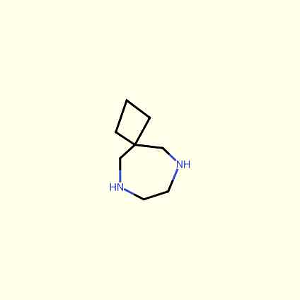 C1CC2(C1)CNCCNC2